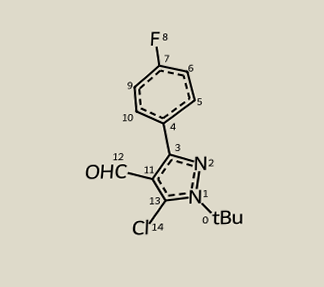 CC(C)(C)n1nc(-c2ccc(F)cc2)c(C=O)c1Cl